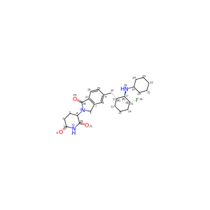 O=C1CCC(N2Cc3cc(C[C@H]4CCC[C@@H](F)[C@@H]4NC4CCCCC4)ccc3C2=O)C(=O)N1